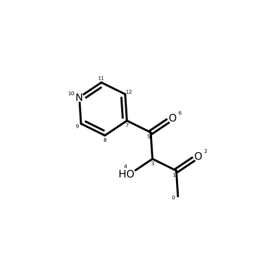 CC(=O)C(O)C(=O)c1ccncc1